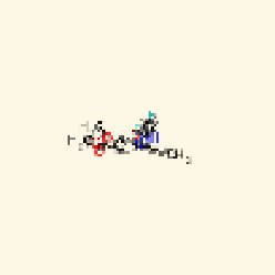 C=CCOC(Cc1ccc(CCN(CCCCCCC)C(=O)Nc2ccc(F)cc2F)cc1)C(=O)OCC